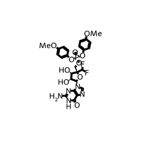 COc1ccc(OP(=O)(OC[C@@]2(C(F)F)O[C@@H](n3cnc4c(=O)[nH]c(N)nc43)[C@H](O)[C@@H]2O)Oc2ccc(OC)cc2)cc1